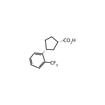 O=C(O)[C@H]1CC[C@@H](c2ccccc2C(F)(F)F)C1